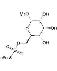 CCCCCS(=O)(=O)OC[C@H]1O[C@H](OC)[C@H](O)[C@@H](O)[C@@H]1O